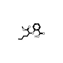 CCCCC(Oc1ccccc1C(=O)O)C(=O)OC